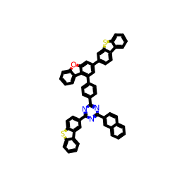 c1ccc2cc(-c3nc(-c4ccc(-c5cc(-c6ccc7c(c6)sc6ccccc67)cc6oc7ccccc7c56)cc4)nc(-c4ccc5sc6ccccc6c5c4)n3)ccc2c1